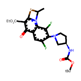 CCOC(=O)c1c2n(c3c(F)c(N4CC[C@@H](NC(=O)OC(C)(C)C)C4)c(F)cc3c1=O)C(C)S2